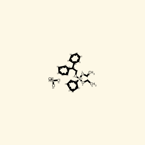 CCO[Si](OCC)(OCC(c1ccccc1)c1ccccc1)c1ccccc1.Cl[SiH](Cl)Cl